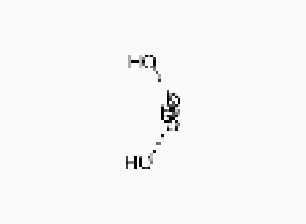 O=C(/C=C\C(=O)OCCCCCCCCO)OCCCCCCCCO